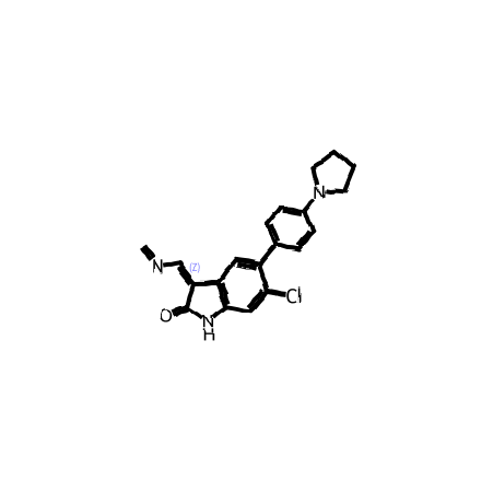 C=N/C=C1\C(=O)Nc2cc(Cl)c(-c3ccc(N4CCCC4)cc3)cc21